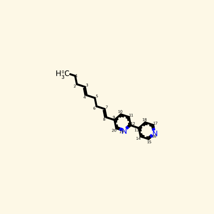 CCC/C=C/CC/C=C/c1ccc(-c2ccncc2)nc1